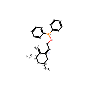 C=C1/C(=C\COP(c2ccccc2)c2ccccc2)C[C@@H](C)C[C@@H]1C